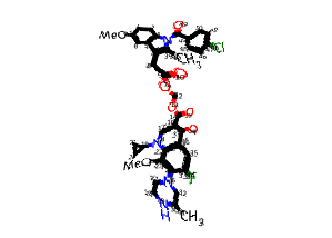 COc1ccc2c(c1)c(CC(=O)OCOC(=O)c1cn(C3CC3)c3c(OC)c(N4CCNC(C)C4)c(F)cc3c1=O)c(C)n2C(=O)c1ccc(Cl)cc1